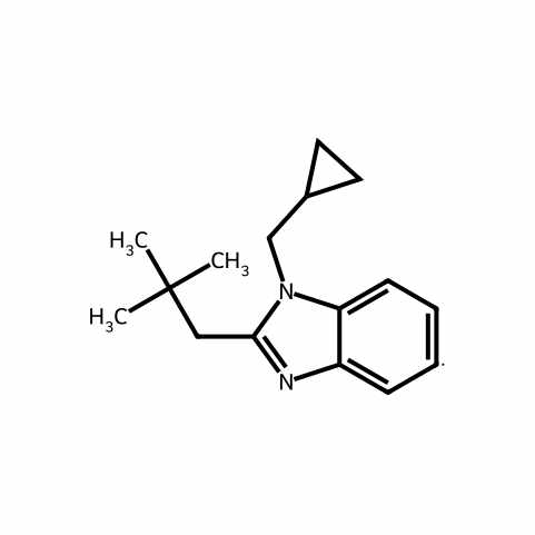 CC(C)(C)Cc1nc2c[c]ccc2n1CC1CC1